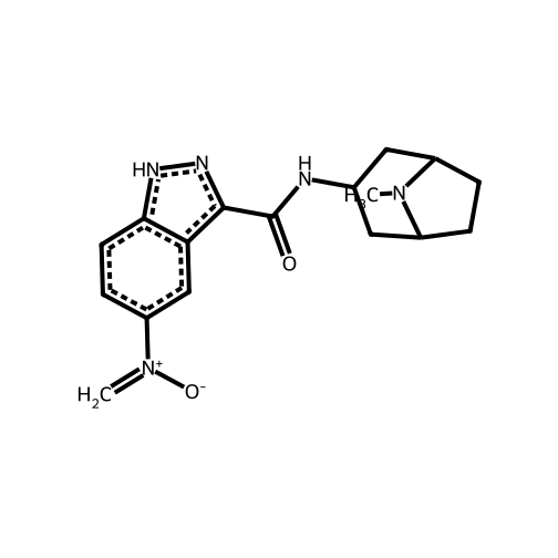 C=[N+]([O-])c1ccc2[nH]nc(C(=O)NC3CC4CCC(C3)N4C)c2c1